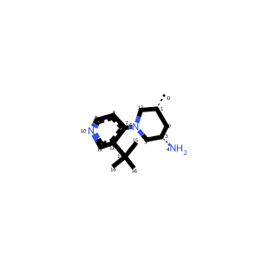 C[C@@H]1C[C@H](N)CN(c2ccncc2C(C)(C)C)C1